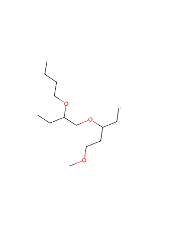 [CH2]CC(CCOC)OCC(CC)OCCCC